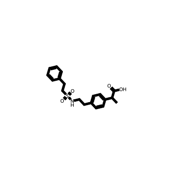 CC(C(=O)O)c1ccc(CCNS(=O)(=O)CCc2ccccc2)cc1